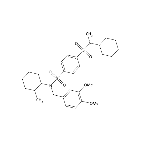 COc1ccc(CN(C2CCCCC2C)S(=O)(=O)c2ccc(S(=O)(=O)N(C)C3CCCCC3)cc2)cc1OC